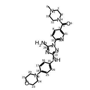 CN1CCN(C(=O)c2ccc(-n3nc(Nc4ccc(N5CCOCC5)cc4)nc3N)nc2)CC1